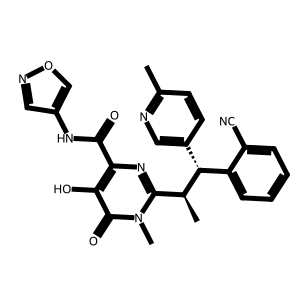 Cc1ccc([C@H](c2ccccc2C#N)[C@@H](C)c2nc(C(=O)Nc3cnoc3)c(O)c(=O)n2C)cn1